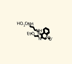 CCOCc1nc2c[n+]([O-])c3ccccc3c2n1NCCCNC(=O)O